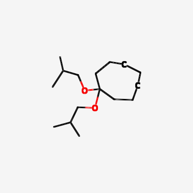 CC(C)COC1(OCC(C)C)CCCCCCC1